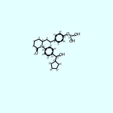 O=C1CCCC(CCc2ccc(OP(O)O)cc2)N1c1ccc(C(O)C2CCCC2)cc1